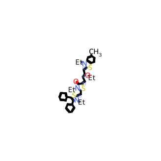 CCOC(=C\C=C1\SC(/C=C2\SC(c3ccccc3)=C(c3ccccc3)N2CC)N(CC)C1=O)/C=C1\Sc2ccc(C)cc2N1CC